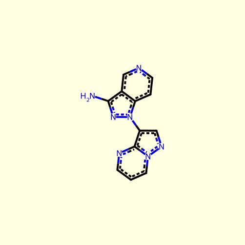 Nc1nn(-c2cnn3cccnc23)c2ccncc12